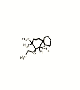 CCOC1C(C)(C)CCC2(CCCCC2)C1(C)C